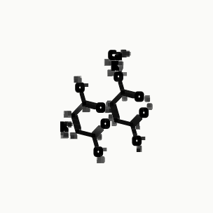 O=C([O-])/C=C\C(=O)[O-].O=C([O-])/C=C\C(=O)[O-].[Ca+2].[K+].[K+]